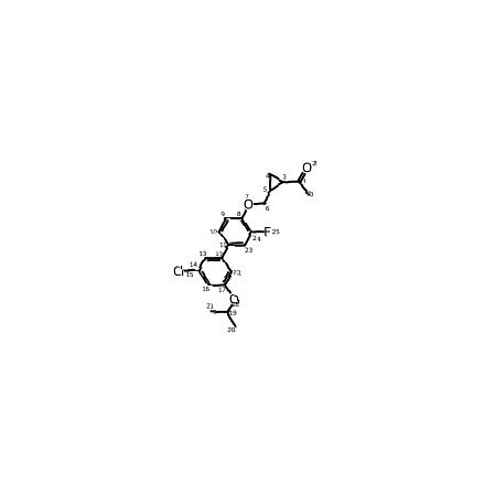 CC(=O)C1CC1COc1ccc(-c2cc(Cl)cc(OC(C)C)c2)cc1F